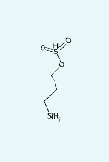 O=[SH](=O)OCCC[SiH3]